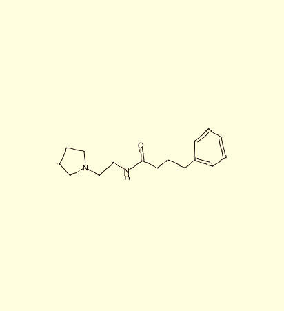 O=C(CCCc1ccccc1)NCCN1C[CH]CC1